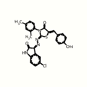 Cc1ccc(N2C(=O)C(=Cc3ccc(O)cc3)SC2=NN=C2C(=O)Nc3ccc(Cl)cc32)c(C)c1